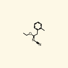 CCO/C(Cc1ccccc1C)=N/C#N